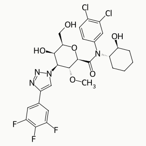 CO[C@@H]1[C@@H](n2cc(-c3cc(F)c(F)c(F)c3)nn2)[C@@H](O)[C@@H](CO)O[C@H]1C(=O)N(c1ccc(Cl)c(Cl)c1)[C@H]1CCCC[C@@H]1O